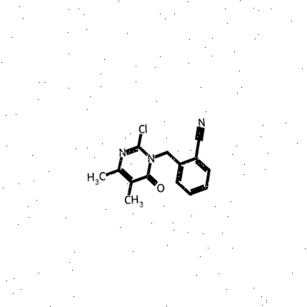 Cc1nc(Cl)n(Cc2ccccc2C#N)c(=O)c1C